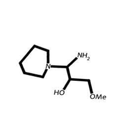 COCC(O)C(N)N1CCCCC1